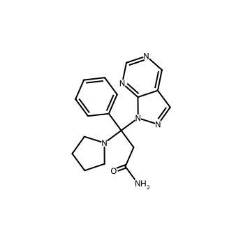 NC(=O)CC(c1ccccc1)(N1CCCC1)n1ncc2cncnc21